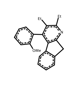 CCc1nc2c(c(-c3ccccc3OC)c1CC)-c1ccccc1C2